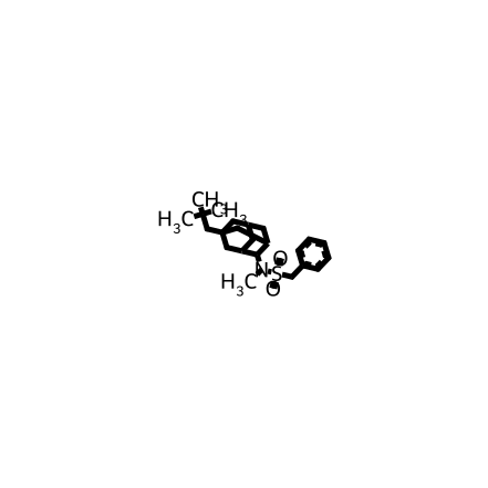 CN(C1C2CC3CC1CC(CC(C)(C)C)(C3)C2)S(=O)(=O)Cc1ccccc1